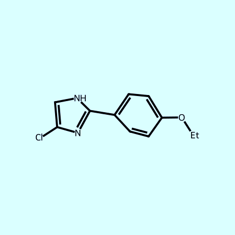 CCOc1ccc(-c2nc(Cl)c[nH]2)cc1